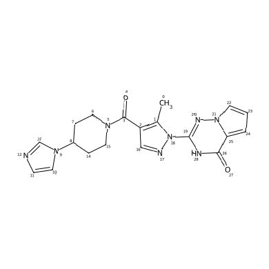 Cc1c(C(=O)N2CCC(n3ccnc3)CC2)cnn1-c1nn2cccc2c(=O)[nH]1